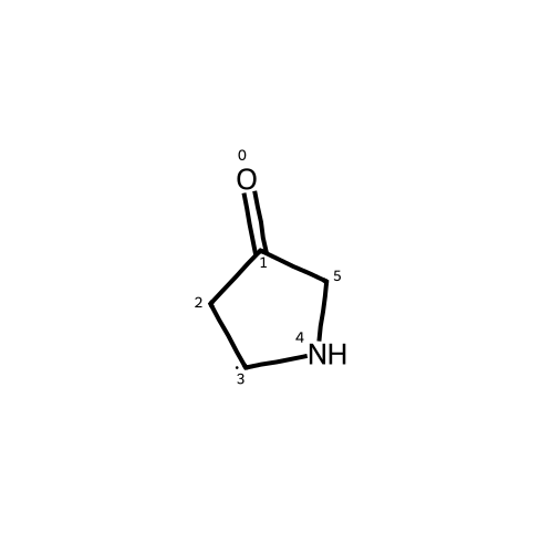 O=C1C[CH]NC1